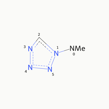 [CH2]Nn1cnnn1